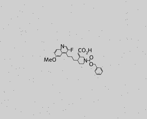 COc1ccc2ncc(F)c(CCCC3CCN(C(=O)OCc4ccccc4)C/C3=C\C(=O)O)c2c1